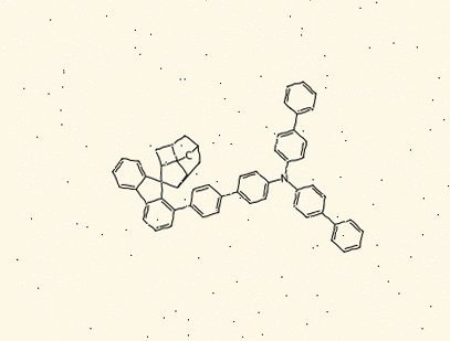 c1ccc(-c2ccc(N(c3ccc(-c4ccccc4)cc3)c3ccc(-c4ccc(-c5cccc6c5C5(c7ccccc7-6)C6CC7CC8CC5C8(C7)C6)cc4)cc3)cc2)cc1